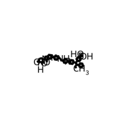 CC/C(=C(/c1ccc(B(O)O)cc1)c1ccc(N2CCC(CNC3CCN(c4ccc5c(c4)C(=O)N(C4CCC(=O)NC4=O)C5)CC3)CC2)cc1)c1ccccc1